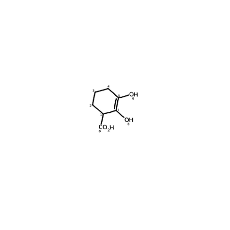 O=C(O)C1CCCC(O)=C1O